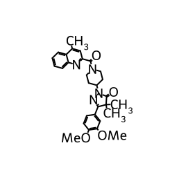 COc1ccc(C2=NN(C3CCN(C(=O)c4cc(C)c5ccccc5n4)CC3)C(=O)C2(C)C)cc1OC